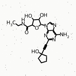 CCNC(=O)C1OC(n2cnc3c(N)nc(C#CC4(O)CCCC4)nc32)C(O)C1O